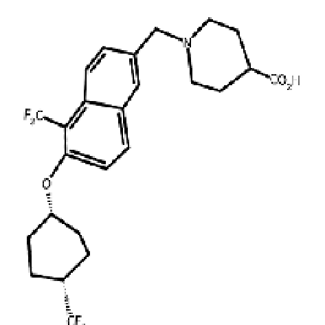 O=C(O)C1CCN(Cc2ccc3c(C(F)(F)F)c(O[C@H]4CC[C@@H](C(F)(F)F)CC4)ccc3c2)CC1